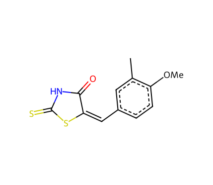 COc1ccc(C=C2SC(=S)NC2=O)cc1C